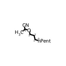 CCCCCCCCOC(C)C#N